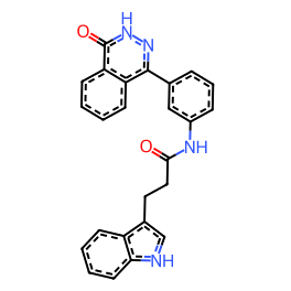 O=C(CCc1c[nH]c2ccccc12)Nc1cccc(-c2n[nH]c(=O)c3ccccc23)c1